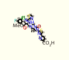 COC(=O)C1=C(CN2CCN3C(=O)N(c4nc(-c5ccc(C(=O)O)cn5)cs4)C[C@@H]3C2)NC(c2nccs2)=N[C@H]1c1ccc(F)cc1Cl